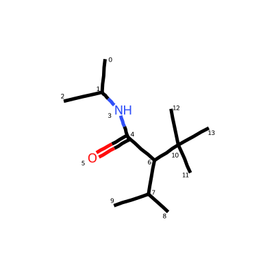 CC(C)NC(=O)C(C(C)C)C(C)(C)C